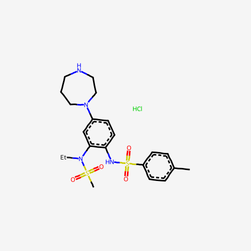 CCN(c1cc(N2CCCNCC2)ccc1NS(=O)(=O)c1ccc(C)cc1)S(C)(=O)=O.Cl